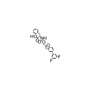 O=C(N[C@H](Cc1ccccc1)C(=O)O)OCc1cc2cc(-c3cc(F)cc(F)c3)ccc2o1